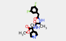 COC(=O)[C@@](C)(NC(=O)[C@H](C)NC(=O)Cc1cc(F)cc(F)c1)c1ccncc1